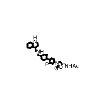 CC(=O)NC[C@H]1CN(c2ccc(-c3ccc(CNCC4=CCNc5ccccc54)cc3)c(F)c2)C(=O)O1